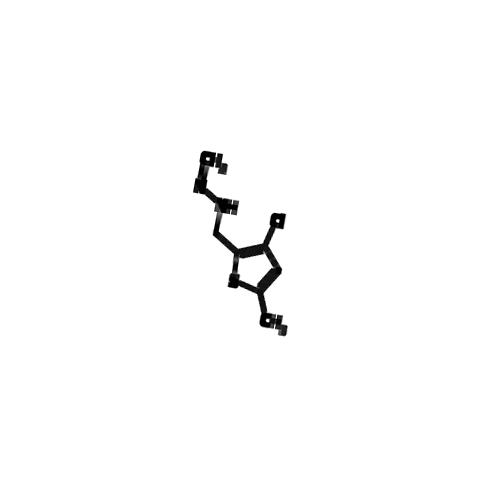 C=NNCc1sc(C)cc1Cl